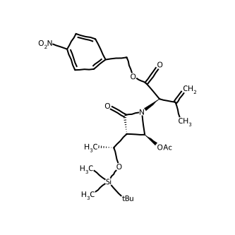 C=C(C)[C@H](C(=O)OCc1ccc([N+](=O)[O-])cc1)N1C(=O)[C@@H]([C@@H](C)O[Si](C)(C)C(C)(C)C)[C@@H]1OC(C)=O